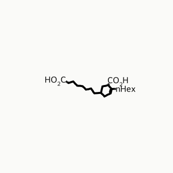 CCCCCCC1=CCC(CCCCCCCC(=O)O)CC1C(=O)O